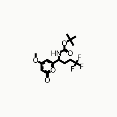 COc1cc(C(CCC(F)(F)F)NC(=O)OC(C)(C)C)oc(=O)c1